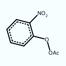 CC(=O)OOc1ccccc1[N+](=O)[O-]